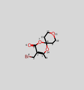 CC1=C(CBr)C(=O)OC2(CCOCC2)O1